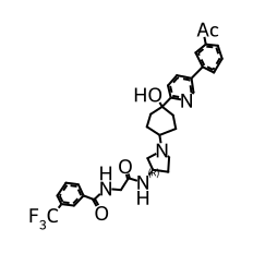 CC(=O)c1cccc(-c2ccc(C3(O)CCC(N4CC[C@@H](NC(=O)CNC(=O)c5cccc(C(F)(F)F)c5)C4)CC3)nc2)c1